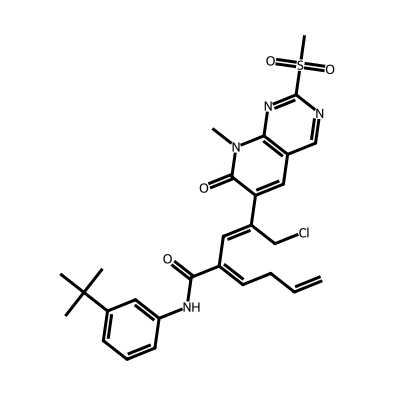 C=CC/C=C(\C=C(/CCl)c1cc2cnc(S(C)(=O)=O)nc2n(C)c1=O)C(=O)Nc1cccc(C(C)(C)C)c1